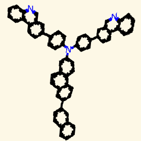 c1ccc2cc(-c3ccc4c(ccc5cc(N(c6ccc(-c7ccc8c(cnc9ccccc98)c7)cc6)c6ccc(-c7ccc8c(cnc9ccccc98)c7)cc6)ccc54)c3)ccc2c1